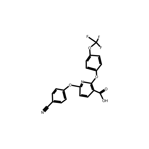 N#Cc1ccc(Oc2ccc(C(=O)O)c(Oc3ccc(OC(F)(F)F)cc3)n2)cc1